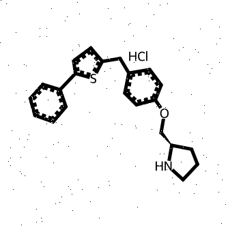 Cl.c1ccc(-c2ccc(Cc3ccc(OC[C@H]4CCCN4)cc3)s2)cc1